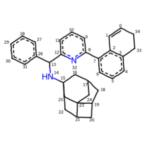 C1=Cc2c(cccc2-c2cccc(C(NC34CC5CC6CC(C3)C6(C5)C4)c3ccccc3)n2)CC1